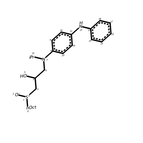 CCCCCCCC[S+]([O-])CC(O)CN(c1ccc(Nc2ccccc2)cc1)C(C)C